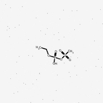 CCOP(=O)(O)OS(C)(=O)=O